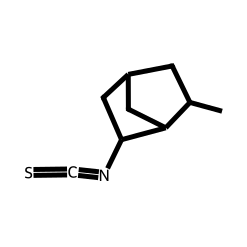 CC1CC2CC(N=C=S)C1C2